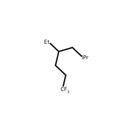 CCC(CCC(F)(F)F)CC(C)C